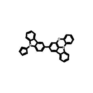 C1=CC=CC=1n1c2ccccc2c2cc(-c3cc4c5c(c3)c3ccccc3n5-c3ccccc3O4)ccc21